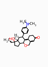 C=CC1(O)CCC2C3OCC4=CC(=O)CCC4=C3C(c3ccc(N(C)C)cc3)CC21C